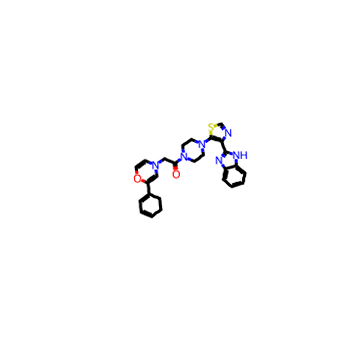 O=C(CN1C=COC(C2=CC=CCC2)=C1)N1CCN(c2scnc2-c2nc3ccccc3[nH]2)CC1